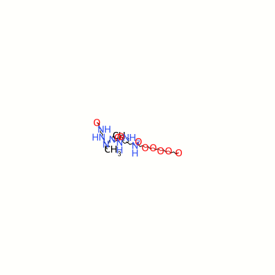 CCN(CCNCCNCC=O)CCN(CC)CC(=O)NC(CCCCNC(=O)CCOCCOCCOCCOCCC=O)C(N)=O